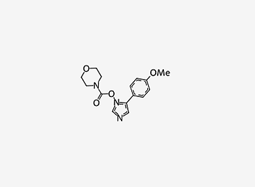 COc1ccc(-c2cncn2OC(=O)N2CCOCC2)cc1